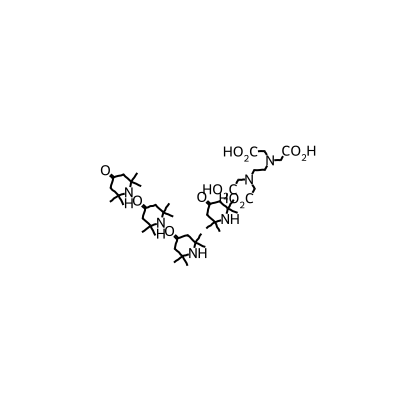 CC1(C)CC(=O)CC(C)(C)N1.CC1(C)CC(=O)CC(C)(C)N1.CC1(C)CC(=O)CC(C)(C)N1.CC1(C)CC(=O)CC(C)(C)N1.O=C(O)CN(CCN(CC(=O)O)CC(=O)O)CC(=O)O